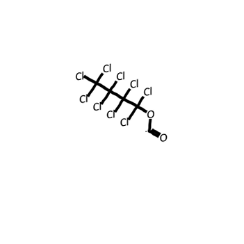 O=[C]OC(Cl)(Cl)C(Cl)(Cl)C(Cl)(Cl)C(Cl)(Cl)Cl